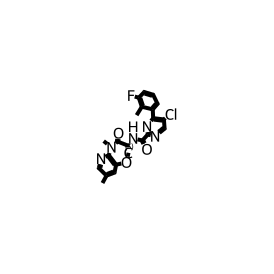 Cc1cnc2c(c1)OC[C@H](NC(=O)c1ncc(Cl)c(-c3cccc(F)c3C)n1)C(=O)N2C